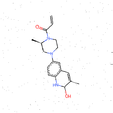 C=CC(=O)N1CCN(c2ccc3c(c2)C=C(C)C(O)N3)C[C@H]1C